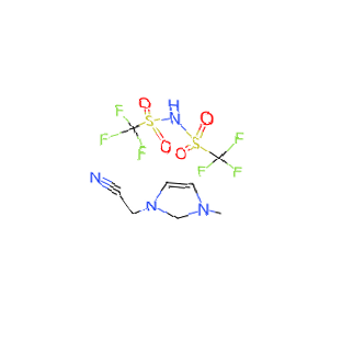 CN1C=CN(CC#N)C1.O=S(=O)(NS(=O)(=O)C(F)(F)F)C(F)(F)F